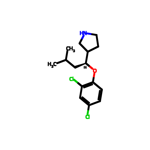 CC(C)C[C@H](Oc1ccc(Cl)cc1Cl)C1CCNC1